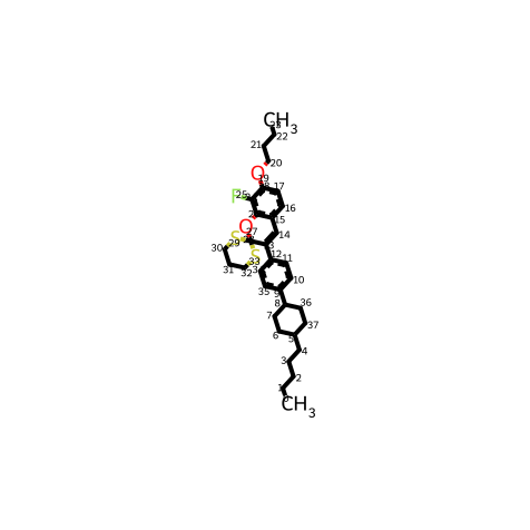 CCCCCC1CCC(c2ccc(C3=Cc4ccc(OCCCC)c(F)c4OC34SCCCS4)cc2)CC1